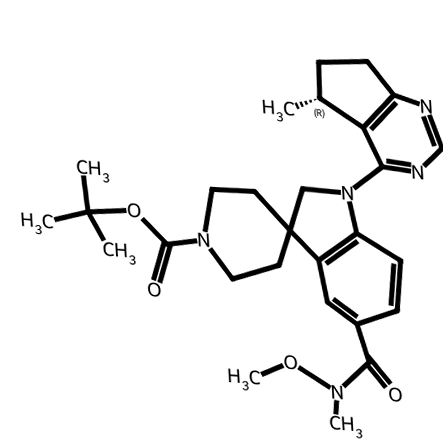 CON(C)C(=O)c1ccc2c(c1)C1(CCN(C(=O)OC(C)(C)C)CC1)CN2c1ncnc2c1[C@H](C)CC2